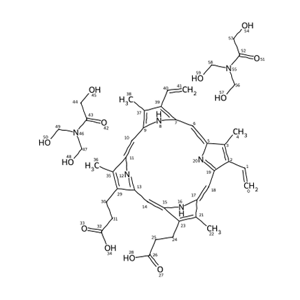 C=CC1=C(C)c2cc3[nH]c(cc4nc(cc5[nH]c(cc1n2)c(C)c5CCC(=O)O)C(CCC(=O)O)=C4C)c(C)c3C=C.O=C(CO)N(CO)CO.O=C(CO)N(CO)CO